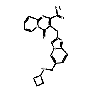 NC(=O)c1nc2ccccn2c(=O)c1Cc1cn2cc(CNC3CCC3)ccc2n1